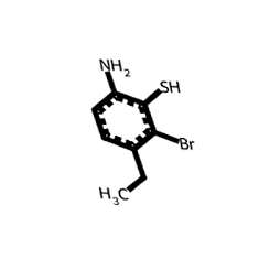 CCc1ccc(N)c(S)c1Br